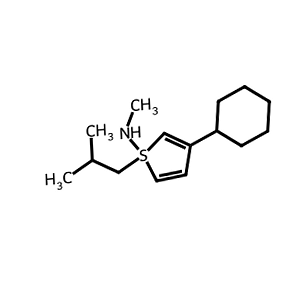 CNS1(CC(C)C)C=CC(C2CCCCC2)=C1